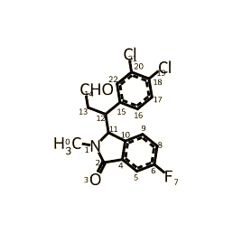 CN1C(=O)c2cc(F)ccc2C1C(CC=O)c1ccc(Cl)c(Cl)c1